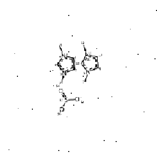 Cn1cc[n+](C)c1.Cn1cc[n+](C)c1.O=S([O-])[O-]